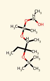 CCC(C)(O[Si](C)(C)C)[SiH](C)O[Si](C)(C)O[SiH](C)O